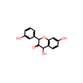 O=C1C(O)c2ccc(O)cc2OC1c1cccc(O)c1